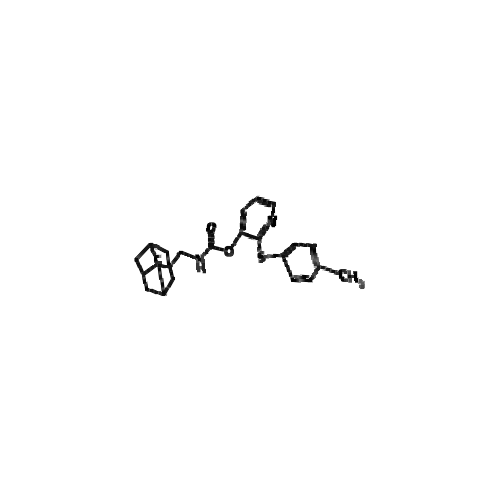 Cc1ccc(Sc2ncccc2OC(=O)NCC23CC4CC(CC(C4)C2)C3)cc1